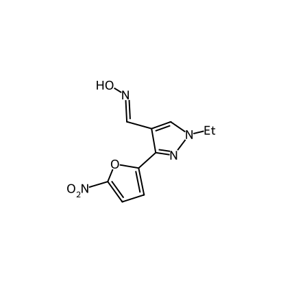 CCn1cc(C=NO)c(-c2ccc([N+](=O)[O-])o2)n1